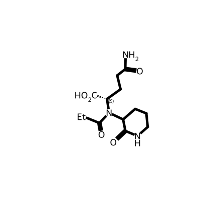 CCC(=O)N(C1CCCNC1=O)[C@@H](CCC(N)=O)C(=O)O